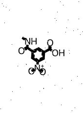 CNC(=O)c1cc(C(=O)O)cc([N+](=O)[O-])c1